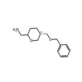 NCC1CC[C@H](COCc2ccccc2)CO1